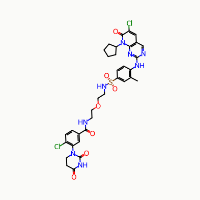 Cc1cc(S(=O)(=O)NCCOCCNC(=O)c2ccc(Cl)c(N3CCC(=O)NC3=O)c2)ccc1Nc1ncc2cc(Cl)c(=O)n(C3CCCC3)c2n1